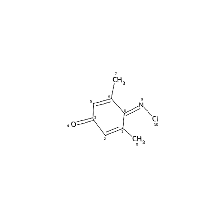 CC1=CC(=O)C=C(C)C1=NCl